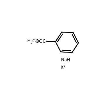 O=C([O-])c1ccccc1.[CaH2].[K+].[NaH]